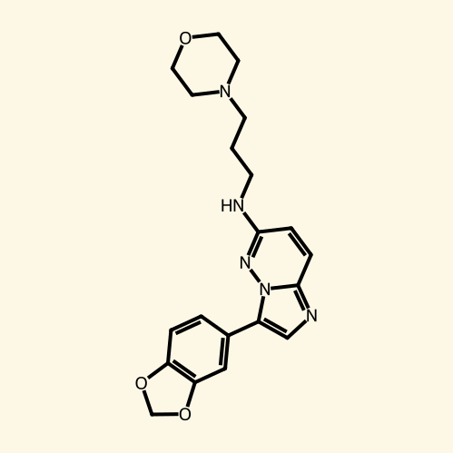 c1cc2c(cc1-c1cnc3ccc(NCCCN4CCOCC4)nn13)OCO2